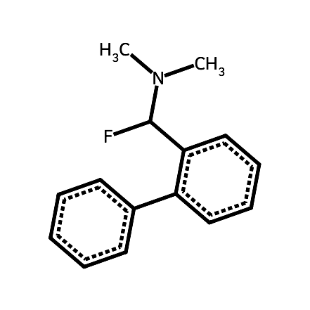 CN(C)C(F)c1ccccc1-c1ccccc1